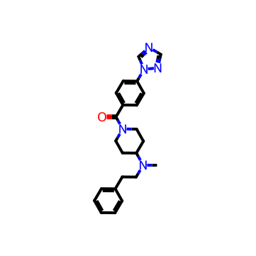 CN(CCc1ccccc1)C1CCN(C(=O)c2ccc(-n3cncn3)cc2)CC1